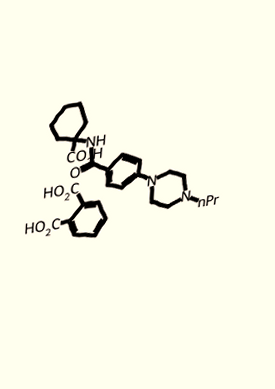 CCCN1CCN(c2ccc(C(=O)NC3(C(=O)O)CCCCC3)cc2)CC1.O=C(O)c1ccccc1C(=O)O